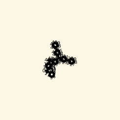 CC1(C)c2ccccc2Oc2c1ccc1c2-c2ccc(N(c3ccc(-c4ccccc4)cc3)c3ccc(-c4ccccc4)cc3)cc2C1(C)C